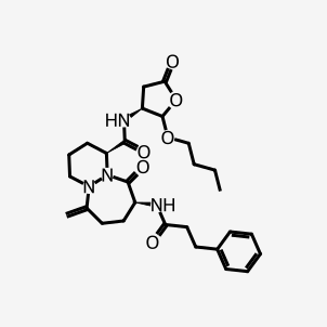 C=C1CC[C@H](NC(=O)CCc2ccccc2)C(=O)N2[C@H](C(=O)N[C@H]3CC(=O)OC3OCCCC)CCCN12